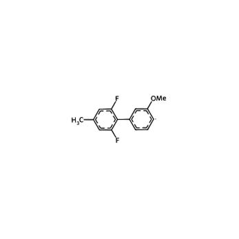 COc1[c]ccc(-c2c(F)cc(C)cc2F)c1